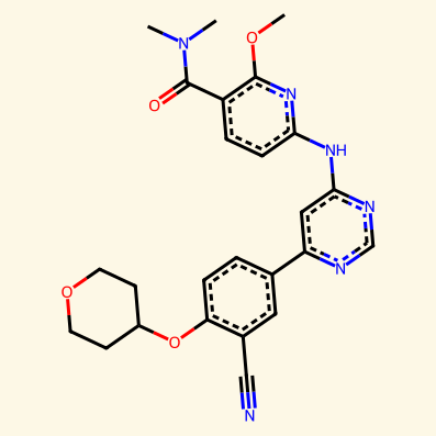 COc1nc(Nc2cc(-c3ccc(OC4CCOCC4)c(C#N)c3)ncn2)ccc1C(=O)N(C)C